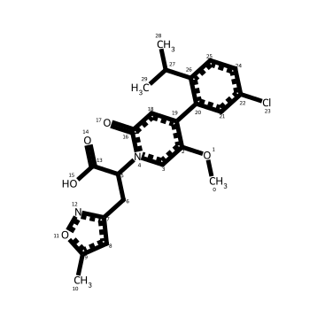 COc1cn(C(Cc2cc(C)on2)C(=O)O)c(=O)cc1-c1cc(Cl)ccc1C(C)C